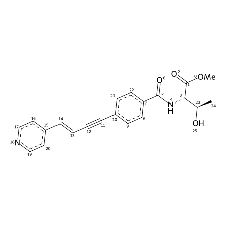 COC(=O)[C@@H](NC(=O)c1ccc(C#C/C=C/c2ccncc2)cc1)[C@@H](C)O